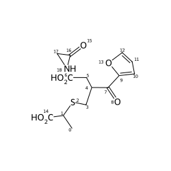 CC(SCC(CC(=O)O)C(=O)c1ccco1)C(=O)O.O=C1CN1